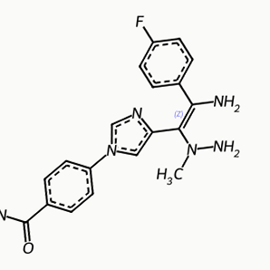 CN(N)/C(=C(\N)c1ccc(F)cc1)c1cn(-c2ccc(C(N)=O)cc2)cn1